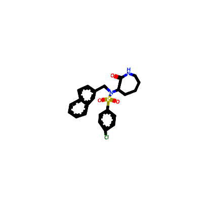 O=C1NCCCCC1N(Cc1ccc2ccccc2c1)S(=O)(=O)c1ccc(Cl)cc1